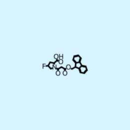 O=C(CC(=O)N1CC(F)CC1C(=O)O)OCC1c2ccccc2-c2ccccc21